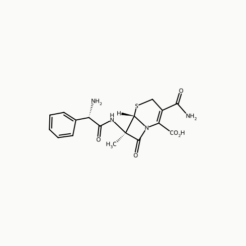 C[C@@]1(NC(=O)[C@@H](N)c2ccccc2)C(=O)N2C(C(=O)O)=C(C(N)=O)CS[C@H]21